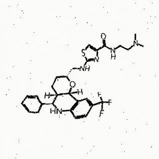 CN(C)CCNC(=O)c1csc(NC[C@H]2CC[C@@H]3[C@H](O2)c2cc(C(F)(F)F)ccc2N[C@H]3C2C=CC=CC2)n1